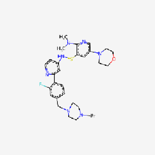 CC(C)N1CCN(Cc2ccc(-c3cc(NSc4cc(N5CCOCC5)cnc4N(C)C)ccn3)c(F)c2)CC1